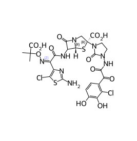 CC(C)(O/N=C(\C(=O)NC1C(=O)N2C[C@@](C(=O)O)(N3CCN(NC(=O)C(=O)c4ccc(O)c(O)c4Cl)C3=O)S[C@H]12)c1nc(N)sc1Cl)C(=O)O